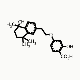 CC1(C)CCC(C)(C)c2cc(CCOc3ccc(C(=O)O)c(O)c3)ccc21